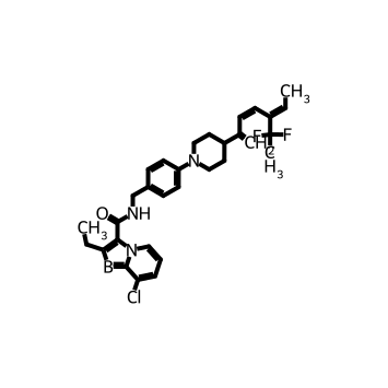 C=C(/C=C\C(=C/C)C(C)(F)F)C1CCN(c2ccc(CNC(=O)c3c(CC)bc4c(Cl)cccn34)cc2)CC1